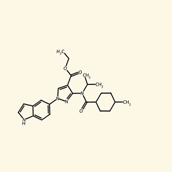 CCOC(=O)c1cn(-c2ccc3[nH]ccc3c2)nc1N(C(=O)C1CCC(C)CC1)C(C)C